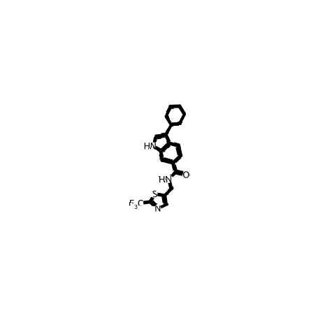 O=C(NCc1cnc(C(F)(F)F)s1)c1ccc2c(C3CCCCC3)c[nH]c2c1